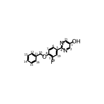 Oc1cnc(-c2ccc(OCc3ccccc3)c(F)c2)nc1